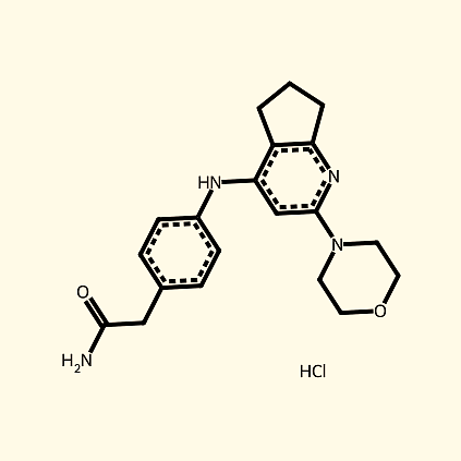 Cl.NC(=O)Cc1ccc(Nc2cc(N3CCOCC3)nc3c2CCC3)cc1